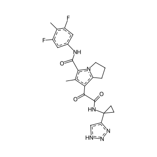 Cc1c(F)cc(NC(=O)c2c(C)c(C(=O)C(=O)NC3(c4c[nH]nn4)CC3)c3n2CCC3)cc1F